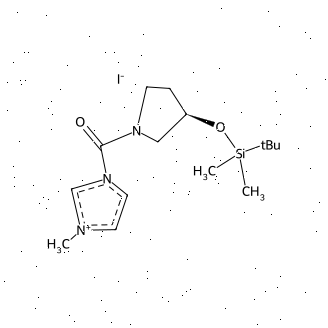 C[n+]1ccn(C(=O)N2CC[C@@H](O[Si](C)(C)C(C)(C)C)C2)c1.[I-]